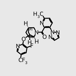 Cc1ccc(-n2nccn2)c(C(=O)N2C[C@@H]3CC[C@H]2[C@H](Oc2ncc(C(F)(F)F)cc2F)C3)n1